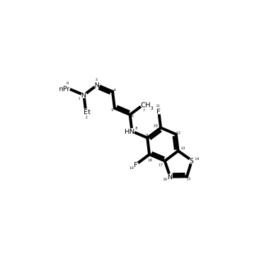 CCCN(CC)/N=C\C=C(/C)Nc1c(F)cc2scnc2c1F